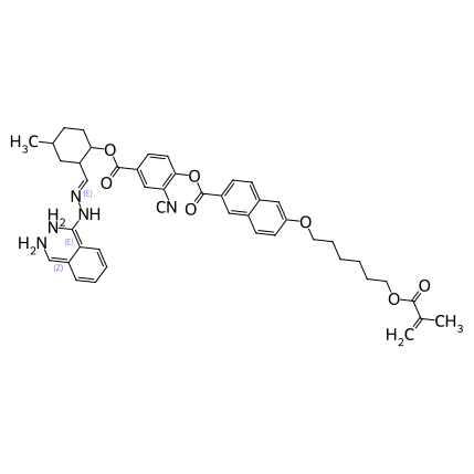 C=C(C)C(=O)OCCCCCCOc1ccc2cc(C(=O)Oc3ccc(C(=O)OC4CCC(C)CC4/C=N/N/C(N)=c4\cccc\c4=C\N)cc3C#N)ccc2c1